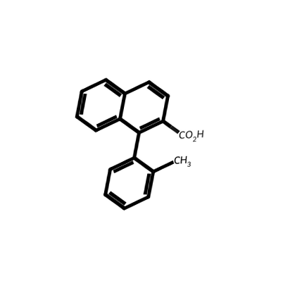 Cc1ccccc1-c1c(C(=O)O)ccc2ccccc12